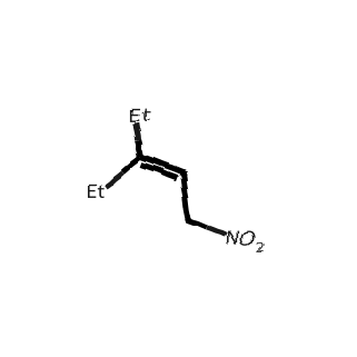 CCC(=CC[N+](=O)[O-])CC